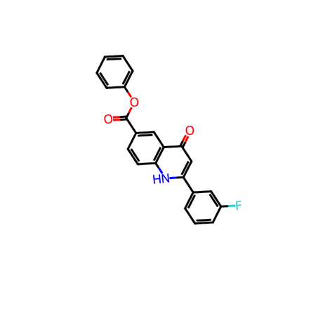 O=C(Oc1ccccc1)c1ccc2[nH]c(-c3cccc(F)c3)cc(=O)c2c1